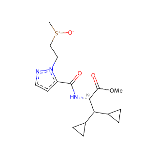 COC(=O)[C@@H](NC(=O)c1ccnn1CC[S+](C)[O-])C(C1CC1)C1CC1